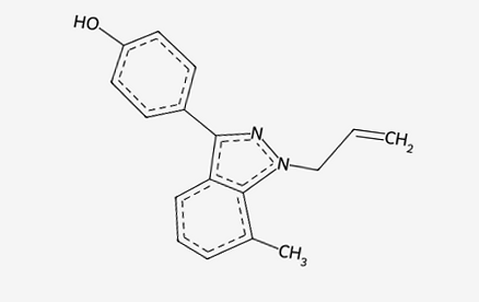 C=CCn1nc(-c2ccc(O)cc2)c2cccc(C)c21